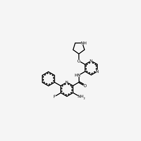 Nc1cc(F)c(-c2ccccc2)nc1C(=O)Nc1cncnc1OC1CCNC1